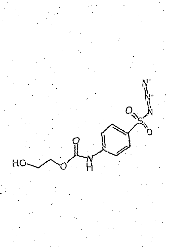 [N-]=[N+]=NS(=O)(=O)c1ccc(NC(=O)OCCO)cc1